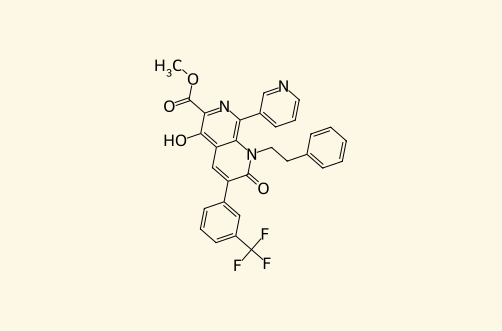 COC(=O)c1nc(-c2cccnc2)c2c(cc(-c3cccc(C(F)(F)F)c3)c(=O)n2CCc2ccccc2)c1O